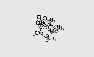 CC(C)(CCC(C)(C)[Si](C)(C)O)NC(=O)c1cn(C(c2ccccc2)(c2ccccc2)c2ccccc2)c2ncc(-c3nn(CCCS(C)(=O)=O)c4cc(F)ccc34)nc12